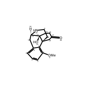 COc1cccc2c1[C@]13CCN[C@H](C2)[C@]1(O)CCC(=O)C3